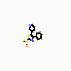 C[S+]([O-])c1nc(-c2ccccc2)c(-c2cccnc2)s1